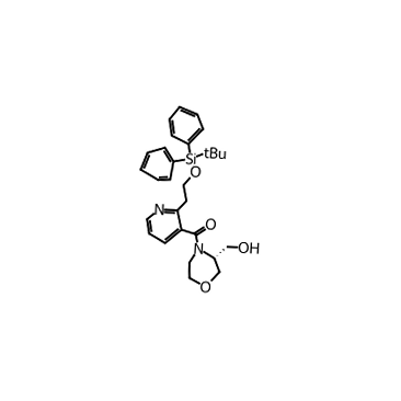 CC(C)(C)[Si](OCCc1ncccc1C(=O)N1CCOC[C@H]1CO)(c1ccccc1)c1ccccc1